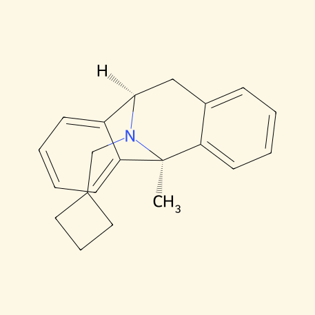 C[C@]12c3ccccc3C[C@H](c3ccccc31)N2CC1CCC1